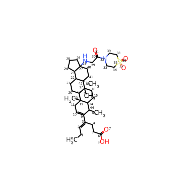 CC/C=C(\CCC(=O)O)C1=CCC2(C)C(CCC3(C)C2CCC2C4CCCC4(NCC(=O)N4CCS(=O)(=O)CC4)CC[C@]23C)C1C